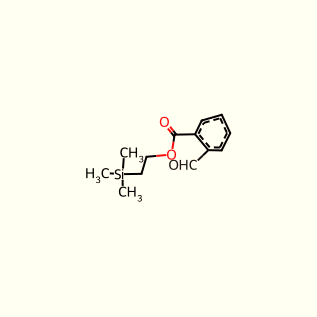 C[Si](C)(C)CCOC(=O)c1ccccc1C=O